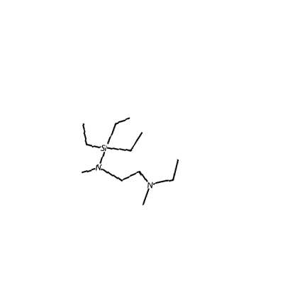 CCN(C)CCN(C)[Si](CC)(CC)CC